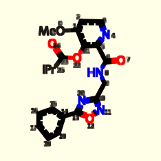 COc1ccnc(C(=O)NCc2noc(-c3ccccc3)n2)c1OC(=O)C(C)C